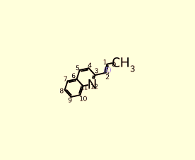 C/C=[C]/c1ccc2ccccc2n1